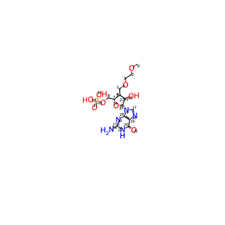 COCCOC[C@@H]1C(COP(=O)(O)O)O[C@@H](n2cnc3c(=O)[nH]c(N)nc32)[C@@H]1O